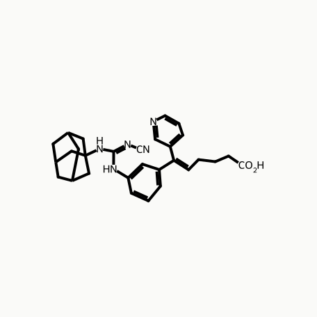 N#CN=C(Nc1cccc(C(=CCCCC(=O)O)c2cccnc2)c1)NC12CC3CC(CC(C3)C1)C2